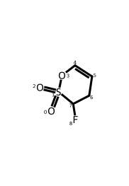 O=S1(=O)OC=CCC1F